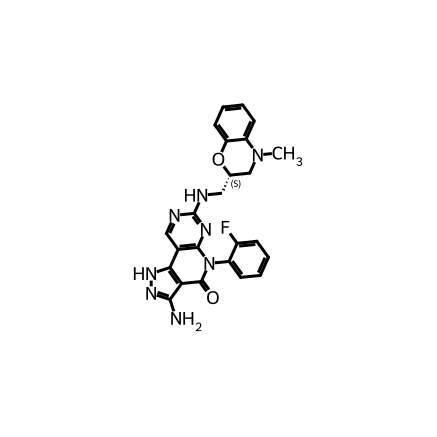 CN1C[C@H](CNc2ncc3c4[nH]nc(N)c4c(=O)n(-c4ccccc4F)c3n2)Oc2ccccc21